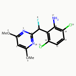 COc1cc(OC)nc(C(F)c2c(Cl)ccc(Cl)c2N)n1